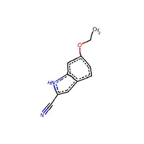 CCOc1ccc2cc(C#N)[nH]c2c1